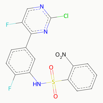 O=[N+]([O-])c1ccccc1S(=O)(=O)Nc1cc(-c2nc(Cl)ncc2F)ccc1F